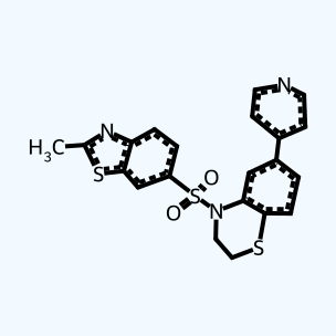 Cc1nc2ccc(S(=O)(=O)N3CCSc4ccc(-c5ccncc5)cc43)cc2s1